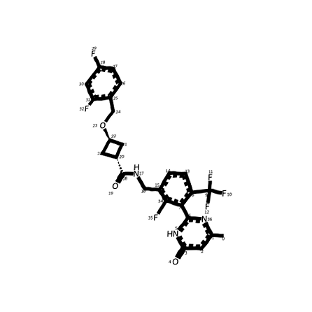 Cc1cc(=O)[nH]c(-c2c(C(F)(F)F)ccc(CNC(=O)[C@H]3C[C@H](OCc4ccc(F)cc4F)C3)c2F)n1